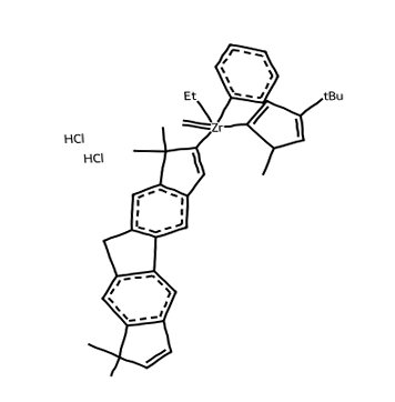 Cl.Cl.[CH2]=[Zr]([CH2]C)([C]1=CC(C(C)(C)C)=CC1C)([C]1=Cc2cc3c(cc2C1(C)C)Cc1cc2c(cc1-3)C=CC2(C)C)[c]1ccccc1